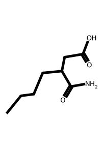 CCCCC(CC(=O)O)C(N)=O